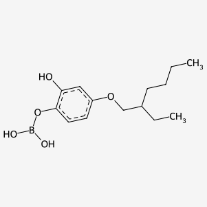 CCCCC(CC)COc1ccc(OB(O)O)c(O)c1